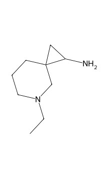 CCN1CCCC2(CC2N)C1